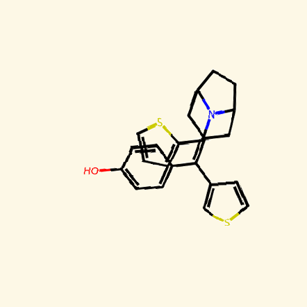 Oc1ccc(C(=C2CC3CCC(C2)N3Cc2cccs2)c2ccsc2)cc1